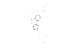 NCCN[S+]([O-])c1ccc(-c2cccc(SC[C@H](O)CN)c2)c(/C(N)=N/NN)c1[S+](N)[O-]